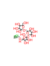 OC[C@H]1OC(OC[C@H]2OC(O[C@]3(CO)O[C@H](CO)[C@@H](O)[C@@H]3O)[C@H](O)[C@@H](O)[C@@H]2O)[C@H](O)[C@@H](O)[C@H]1O.[Cl-].[Cl-].[Zn+2]